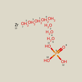 O.O.O.O.O.O.O.O.O=P(O)(O)O.[Zr]